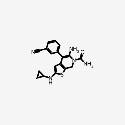 N#Cc1cccc(C2=C(N)N(C(N)=O)Cc3sc(NC4CC4)cc32)c1